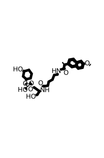 COc1ccc2cc([C@H](C)C(=O)NCCCCCC(=O)NC(CO)COP(=O)(O)OC3CCCC(O)C3)ccc2c1